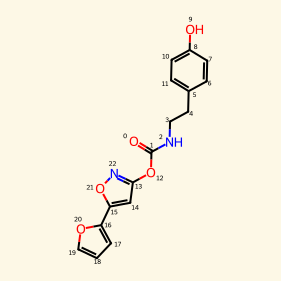 O=C(NCCc1ccc(O)cc1)Oc1cc(-c2ccco2)on1